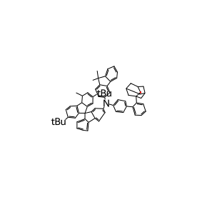 CC1C=C(C(C)(C)C)C=C2C1c1ccc(C(C)(C)C)cc1C21c2ccccc2-c2ccc(N(c3ccc(-c4ccccc4C45CC6CC(CC(C6)C4)C5)cc3)c3ccc4c(c3)-c3ccccc3C4(C)C)cc21